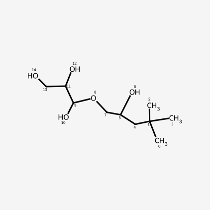 CC(C)(C)CC(O)COC(O)C(O)CO